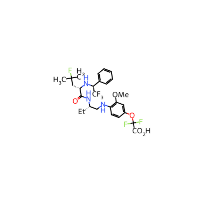 CC[C@@H](CNc1ccc(OC(F)(F)C(=O)O)cc1OC)NC(=O)[C@H](CC(C)(C)F)N[C@@H](c1ccccc1)C(F)(F)F